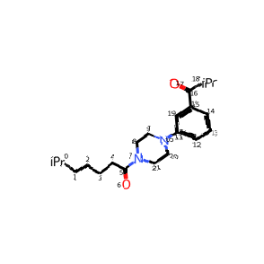 CC(C)CCCCC(=O)N1CCN(c2cccc(C(=O)C(C)C)c2)CC1